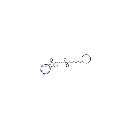 O=C(CCCCCCC1CCCCCCCCCC1)NCCCCC1NC2C3=CC(=C/C=C\C=C/C=C\C=C/3)\C2C1=O